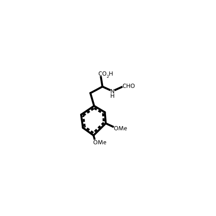 COc1ccc(CC(NC=O)C(=O)O)cc1OC